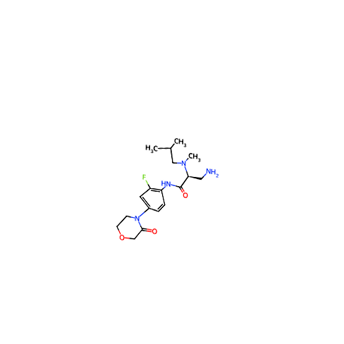 CC(C)CN(C)[C@@H](CN)C(=O)Nc1ccc(N2CCOCC2=O)cc1F